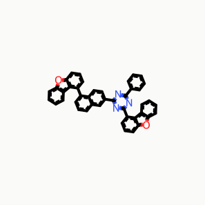 c1ccc(-c2nc(-c3ccc4c(-c5cccc6oc7ccccc7c56)cccc4c3)nc(-c3cccc4oc5ccccc5c34)n2)cc1